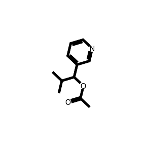 CC(=O)OC(c1cccnc1)C(C)C